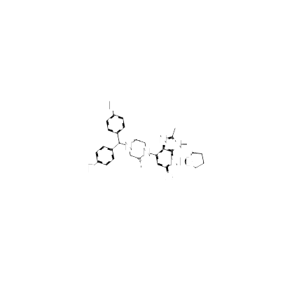 Cc1nc2c(N3C[C@@H](C)N(C(c4ccc(F)cc4)c4ccc(F)cc4)C[C@@H]3C)cc(=O)[nH]c2n1C[C@@H]1CCCO1